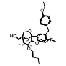 CCCCOC1[C@@H](OCCCC)[C@H](C)C2(CO)COC1(c1ccc(F)c(Cc3ccc(OCC)cc3)c1)O2